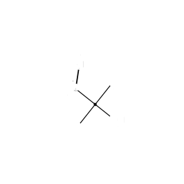 CC(C)(O)[SiH2]Cl